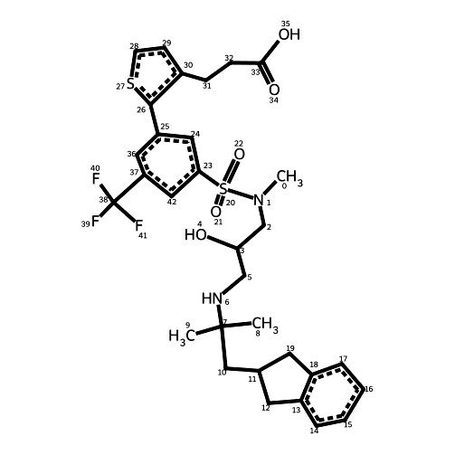 CN(CC(O)CNC(C)(C)CC1Cc2ccccc2C1)S(=O)(=O)c1cc(-c2sccc2CCC(=O)O)cc(C(F)(F)F)c1